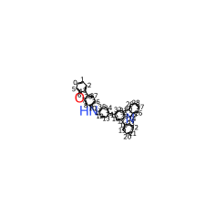 c1ccc2c(c1)oc1cc(Nc3ccc(-c4cc5c6ccccc6n6c7ccccc7c(c4)c56)cc3)ccc12